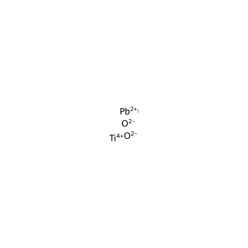 [O-2].[O-2].[Pb+2].[Ti+4]